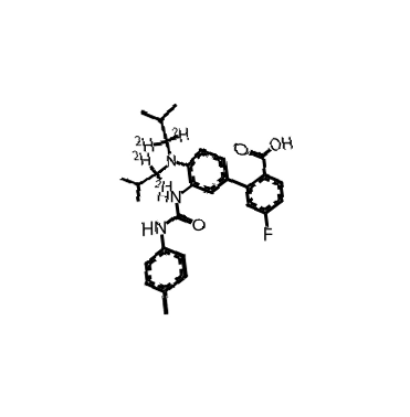 [2H]C([2H])(C(C)C)N(c1ccc(-c2cc(F)ccc2C(=O)O)cc1NC(=O)Nc1ccc(C)cc1)C([2H])([2H])C(C)C